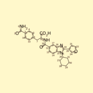 NC(=O)c1ccc(CC(NC(=O)c2ccc3c(c2)nc(-c2ccoc2)n3C2CCCCC2)C(=O)O)cc1